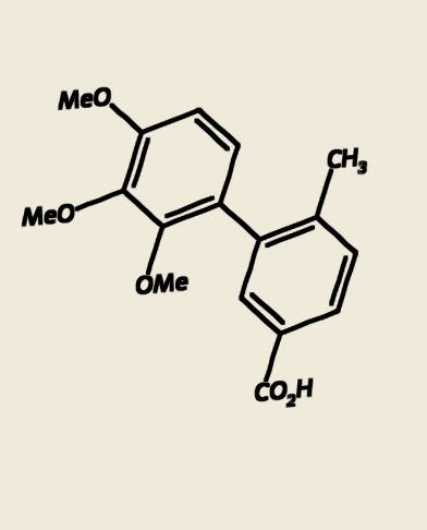 COc1ccc(-c2cc(C(=O)O)ccc2C)c(OC)c1OC